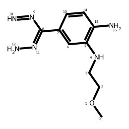 COCCNc1cc(/C(N=N)=N/N)ccc1N